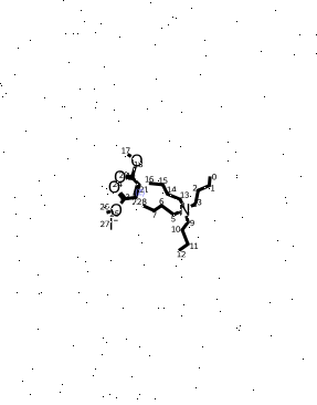 CCCC[N+](CCCC)(CCCC)CCCC.COC(=O)/C=C\C(=O)OC.[I-]